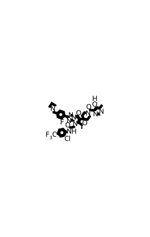 Cc1ncnc(C(=O)N2CCC3(CC2)O[C@@H](C)c2c3c(=O)n3nc(-c4ccc(CN5CCC5)cc4F)nc3n2CC(=O)Nc2ccc(C(F)(F)F)cc2Cl)c1O